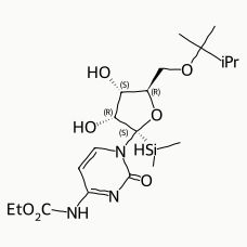 CCOC(=O)Nc1ccn([C@]2([SiH](C)C)O[C@H](COC(C)(C)C(C)C)[C@@H](O)[C@H]2O)c(=O)n1